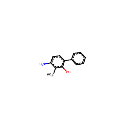 Nc1ccc(-c2ccccc2)c(O)c1C(=O)O